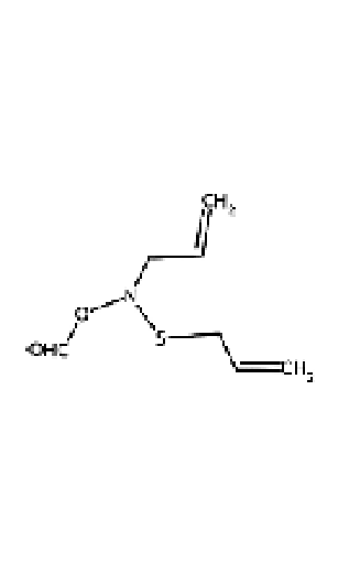 C=CCSN(CC=C)O[C]=O